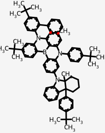 Cc1cc2c3c(c1)N(c1ccc(C(C)(C)C)cc1-c1ccccc1)c1cc(C(C)(C)C)ccc1B3c1ccc(N3c4ccccc4C4(c5ccc(C(C)(C)C)cc5)CCCCC34C)cc1N2c1ccc(C(C)(C)C)cc1